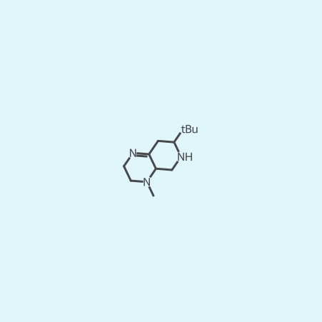 CN1CCN=C2CC(C(C)(C)C)NCC21